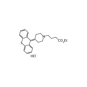 CCOC(=O)CCCN1CCC(=C2c3ccccc3Sc3ccccc32)CC1.Cl